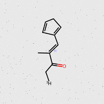 [3H]CC(=O)/C(C)=C/C1=CCC=C1